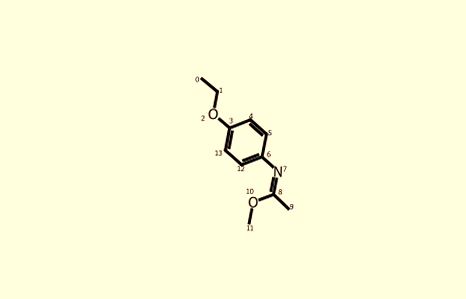 CCOc1ccc(/N=C(/C)OC)cc1